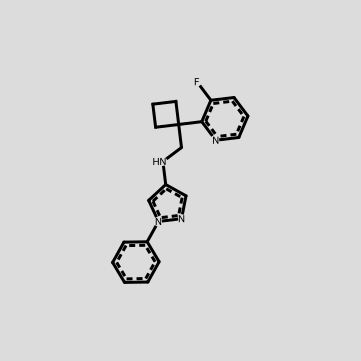 Fc1cccnc1C1(CNc2cnn(-c3ccccc3)c2)CCC1